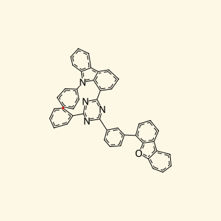 c1ccc(-c2nc(-c3cccc(-c4cccc5c4oc4ccccc45)c3)nc(-c3cccc4c5ccccc5n(-c5ccccc5)c34)n2)cc1